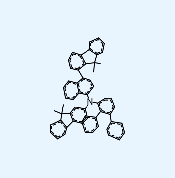 CC1(C)c2ccccc2-c2ccc(N(c3cccc(-c4ccccc4)c3-c3ccccc3)c3ccc(-c4cccc5c4C(C)(C)c4ccccc4-5)c4ccccc34)cc21